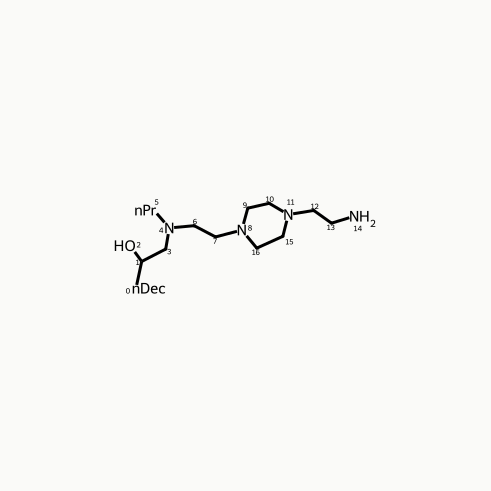 CCCCCCCCCCC(O)CN(CCC)CCN1CCN(CCN)CC1